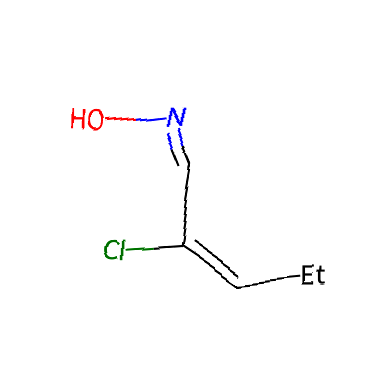 CC/C=C(Cl)\C=N/O